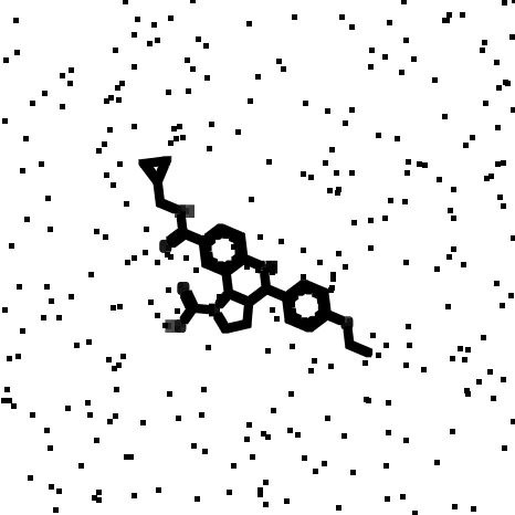 CCOc1ccc(C2Nc3ccc(C(=O)NCC4CC4)cc3C3C2CCN3C(=O)O)cc1